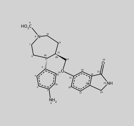 Nc1ccc([C@@H]2CCN(C(=O)O)CC[C@H]2COc2ccc3c(c2)C(=O)NC3)cc1